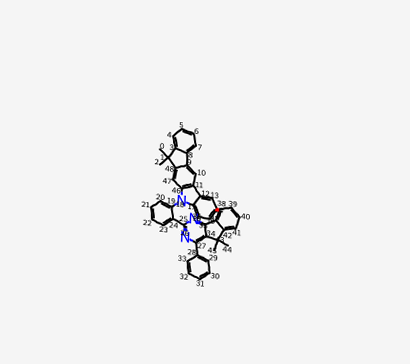 CC1(C)c2ccccc2-c2cc3c4ccccc4n(-c4ccccc4-c4nc(-c5ccccc5)c5c(n4)-c4ccccc4C5(C)C)c3cc21